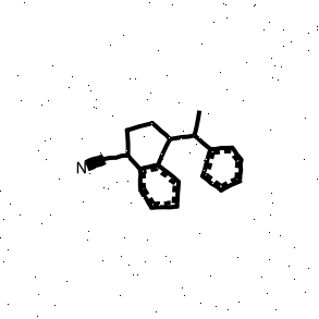 CC(c1ccccc1)C1CCC(C#N)c2ccccc21